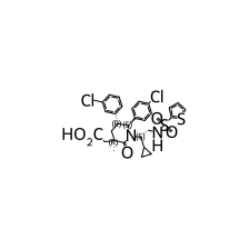 C[C@]1(CC(=O)O)C[C@H](c2cccc(Cl)c2)[C@@H](c2ccc(Cl)cc2)N([C@H](CNS(=O)(=O)c2cccs2)C2CC2)C1=O